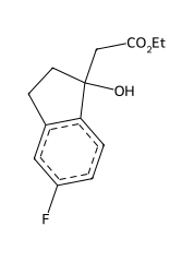 CCOC(=O)CC1(O)CCc2cc(F)ccc21